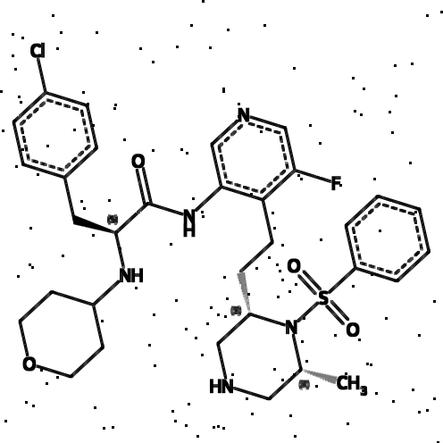 C[C@@H]1CNC[C@H](CCc2c(F)cncc2NC(=O)[C@H](Cc2ccc(Cl)cc2)NC2CCOCC2)N1S(=O)(=O)c1ccccc1